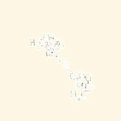 C=C1CCC(=O)N1OC(=O)OCCOCCNC(=O)OC(C)(C)C